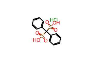 Cl.O=S(=O)(O)C(c1ccccc1)(c1ccccc1)S(=O)(=O)O